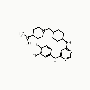 CN(C)C1CCN(CC2CCC(Nc3cc(Nc4ccc(F)c(Cl)c4)ncn3)CC2)CC1